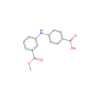 COC(=O)c1cccc(Nc2ccc(C(=O)O)cc2)c1